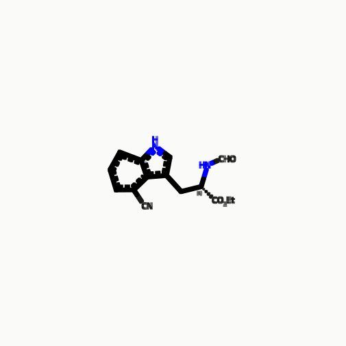 CCOC(=O)[C@H](Cc1c[nH]c2cccc(C#N)c12)NC=O